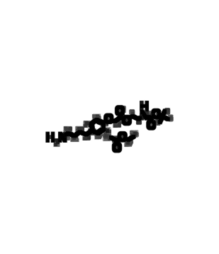 CC(C)(C)OC(=O)NCCOC(=O)COc1ccc(CCCCN)cc1.CCOC(C)=O